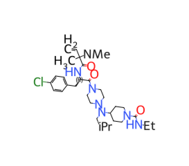 C=CC(C)(NC)C(=O)N[C@H](Cc1ccc(Cl)cc1)C(=O)N1CCN(N(CC(C)C)C2CCN(C(=O)NCC)CC2)CC1